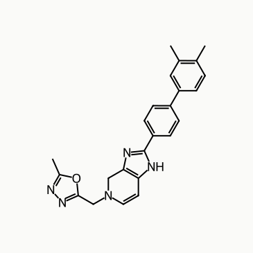 Cc1nnc(CN2C=Cc3[nH]c(-c4ccc(-c5ccc(C)c(C)c5)cc4)nc3C2)o1